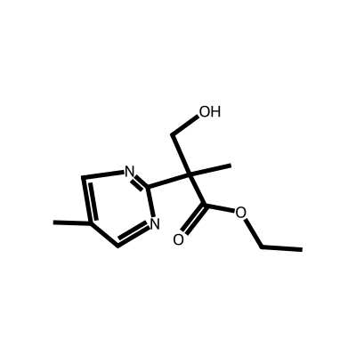 CCOC(=O)C(C)(CO)c1ncc(C)cn1